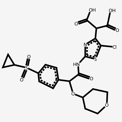 O=C(Nc1nc(C(C(=O)O)C(=O)O)c(Cl)s1)C(OC1CCOCC1)c1ccc(S(=O)(=O)C2CC2)cc1